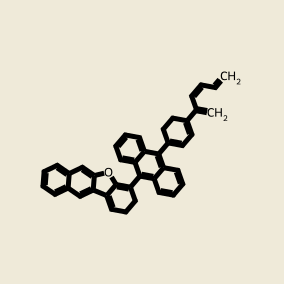 C=C/C=C\C(=C)C1=CC=C(c2c3ccccc3c(C3=c4oc5cc6ccccc6cc5c4=CCC3)c3ccccc23)CC1